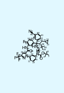 CC(C)(C)OC(=O)Nc1cccc(-n2nc(C(F)(F)F)cc2C(=O)Nc2cc(C(CCC3CC3)(N[S@+]([O-])C(C)(C)C)c3cccc(C#N)n3)ccc2F)c1